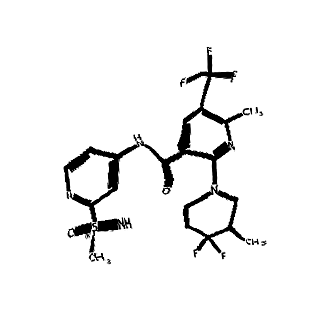 Cc1nc(N2CCC(F)(F)C(C)C2)c(C(=O)Nc2ccnc([S@](C)(=N)=O)c2)cc1C(F)(F)F